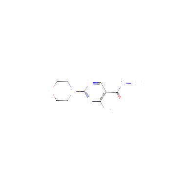 COc1nc(N2CCOCC2)ncc1C(=O)NN